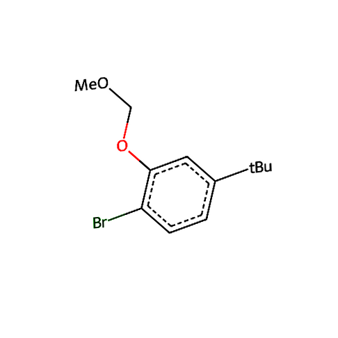 COCOc1cc(C(C)(C)C)ccc1Br